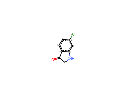 O=C1CNc2cc(Cl)ccc21